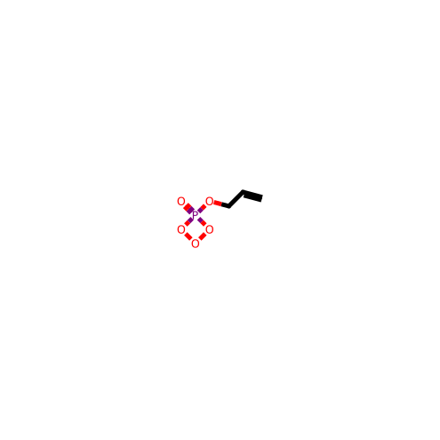 C=CCOP1(=O)OOO1